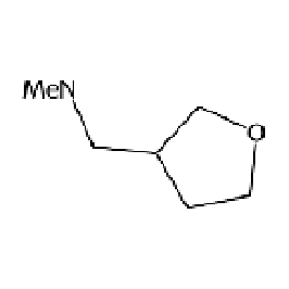 [CH2]NCC1CCOC1